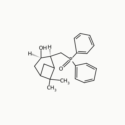 CC1(C)C2CC1[C@H](CP(=O)(c1ccccc1)c1ccccc1)[C@H](O)C2